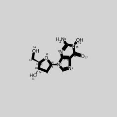 Nc1nc2c(ncn2[C@H]2C[C@H](O)[C@@H](CO)O2)c(=O)n1O